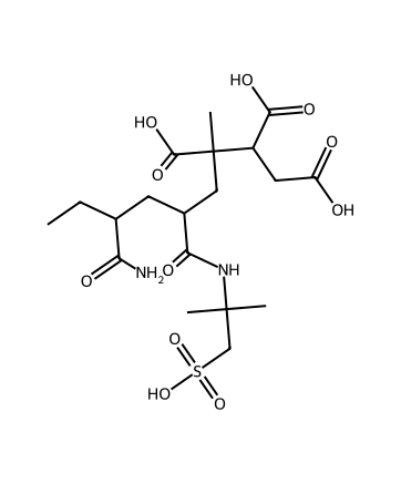 CCC(CC(CC(C)(C(=O)O)C(CC(=O)O)C(=O)O)C(=O)NC(C)(C)CS(=O)(=O)O)C(N)=O